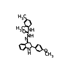 COc1ccc(C2CC(=NNC(=O)Nc3ccc(C)cc3C)c3ccccc3N2)cc1